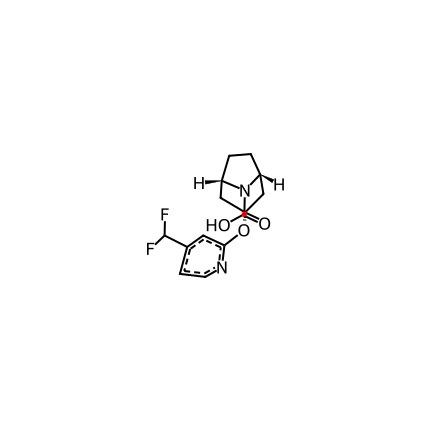 O=C(O)N1[C@@H]2CC[C@H]1C[C@@H](Oc1cc(C(F)F)ccn1)C2